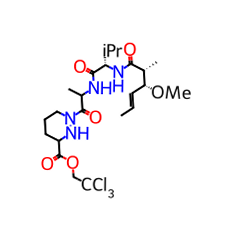 C/C=C/[C@@H](OC)[C@@H](C)C(=O)N[C@H](C(=O)NC(C)C(=O)N1CCCC(C(=O)OCC(Cl)(Cl)Cl)N1)C(C)C